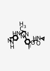 Cc1cnc(-c2ccc(F)c(OCC(=O)NC3CC3)c2)nc1Nc1ccc2[nH]ncc2c1